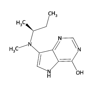 CC[C@H](C)N(C)c1c[nH]c2c(O)ncnc12